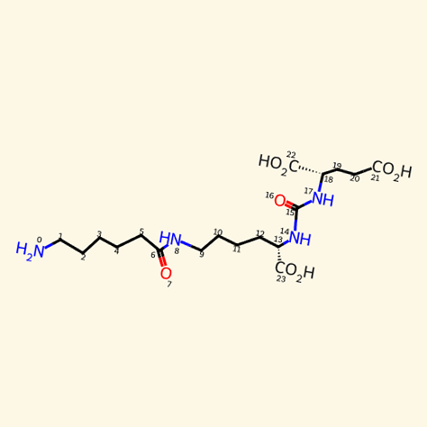 NCCCCCC(=O)NCCCC[C@H](NC(=O)N[C@@H](CCC(=O)O)C(=O)O)C(=O)O